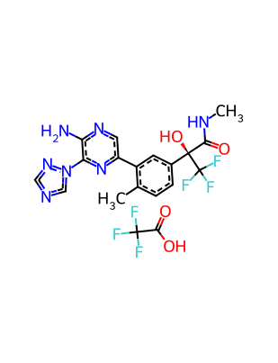 CNC(=O)[C@@](O)(c1ccc(C)c(-c2cnc(N)c(-n3cncn3)n2)c1)C(F)(F)F.O=C(O)C(F)(F)F